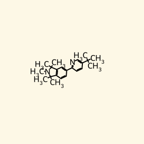 CN1C(C)(C)c2ccc(-c3ccc(C(C)(C)C)cn3)cc2C1(C)C